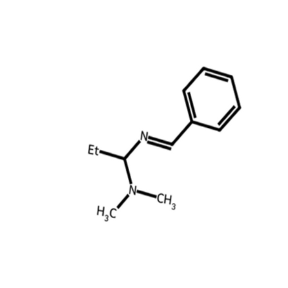 CCC(/N=C/c1ccccc1)N(C)C